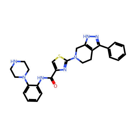 O=C(Nc1ccccc1N1CCNCC1)c1csc(N2CCc3c(-c4ccccc4)n[nH]c3C2)n1